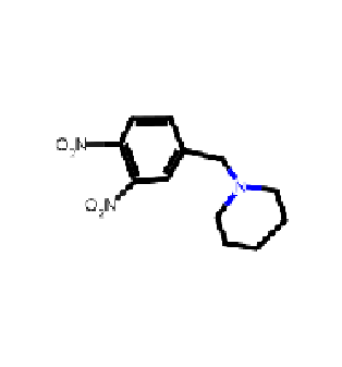 O=[N+]([O-])c1ccc(CN2CCCCC2)cc1[N+](=O)[O-]